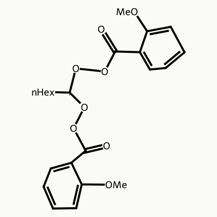 [CH2]CCCCC[C](OOC(=O)c1ccccc1OC)OOC(=O)c1ccccc1OC